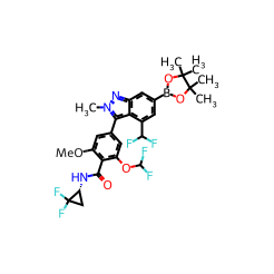 COc1cc(-c2c3c(C(F)F)cc(B4OC(C)(C)C(C)(C)O4)cc3nn2C)cc(OC(F)F)c1C(=O)N[C@@H]1CC1(F)F